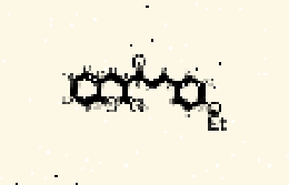 CCOc1ccc(C=CC(=O)c2cc3ccccc3oc2=O)cc1